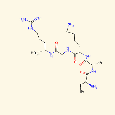 CC(C)C[C@H](N)C(=O)N[C@H](C(=O)N[C@@H](CCCCN)C(=O)NCC(=O)N[C@@H](CCCNC(=N)N)C(=O)O)C(C)C